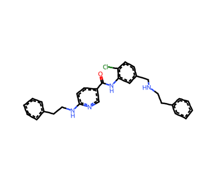 O=C(Nc1cc(CNCCc2ccccc2)ccc1Cl)c1ccc(NCCc2ccccc2)nc1